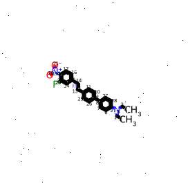 CCN(CC)c1ccc(-c2ccc(/C=C/c3ccc([N+](=O)[O-])c(F)c3)cc2)cc1